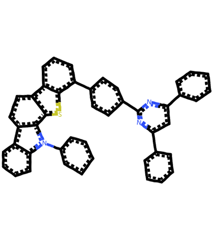 c1ccc(-c2cc(-c3ccccc3)nc(-c3ccc(-c4cccc5c4sc4c5ccc5c6ccccc6n(-c6ccccc6)c54)cc3)n2)cc1